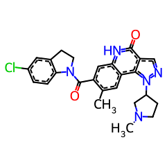 Cc1cc2c(cc1C(=O)N1CCc3cc(Cl)ccc31)[nH]c(=O)c1cnn(C3CCN(C)C3)c12